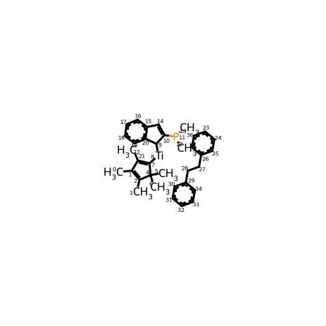 CC1=C(C)C(C)(C)[C]([Ti][CH]2C(P(C)C)=Cc3ccccc32)=C1C.c1ccc(CCc2ccccc2)cc1